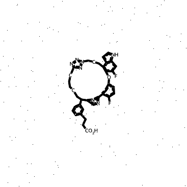 O=C(O)CCc1cccc(C2CCCCCc3nnn(n3)CCCc3c(c(F)cc4[nH]ccc34)Oc3ccc(F)c(c3)-c3ncc2[nH]3)c1